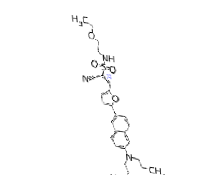 CCCN(CCC)c1ccc2cc(-c3ccc(/C=C(\C#N)S(=O)(=O)NCCOCC)o3)ccc2c1